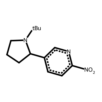 CC(C)(C)N1CCCC1c1ccc([N+](=O)[O-])nc1